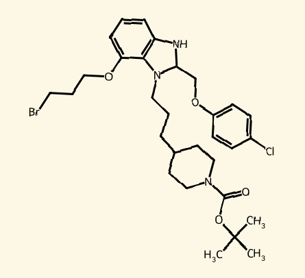 CC(C)(C)OC(=O)N1CCC(CCCN2c3c(cccc3OCCCBr)NC2COc2ccc(Cl)cc2)CC1